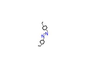 C=Cc1ccc(CN(C)CN(C)Cc2ccc(C=C)cc2)cc1